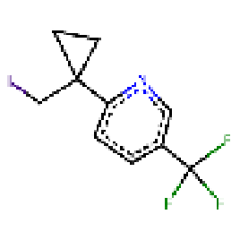 FC(F)(F)c1ccc(C2(CI)CC2)nc1